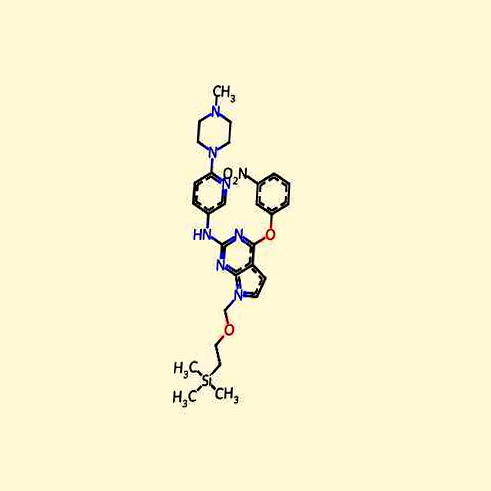 CN1CCN(c2ccc(Nc3nc(Oc4cccc([N+](=O)[O-])c4)c4ccn(COCC[Si](C)(C)C)c4n3)cn2)CC1